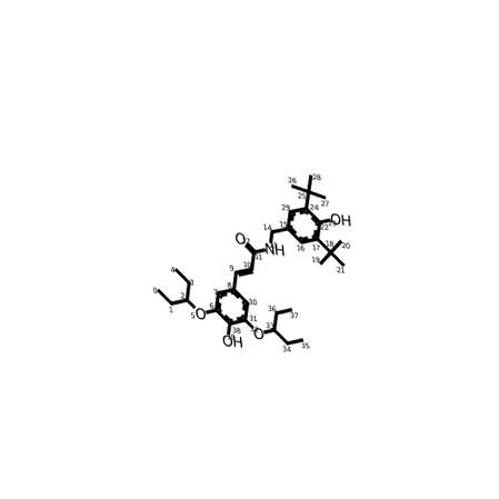 CCC(CC)Oc1cc(C=CC(=O)NCc2cc(C(C)(C)C)c(O)c(C(C)(C)C)c2)cc(OC(CC)CC)c1O